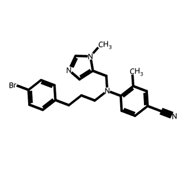 Cc1cc(C#N)ccc1N(CCCc1ccc(Br)cc1)Cc1cncn1C